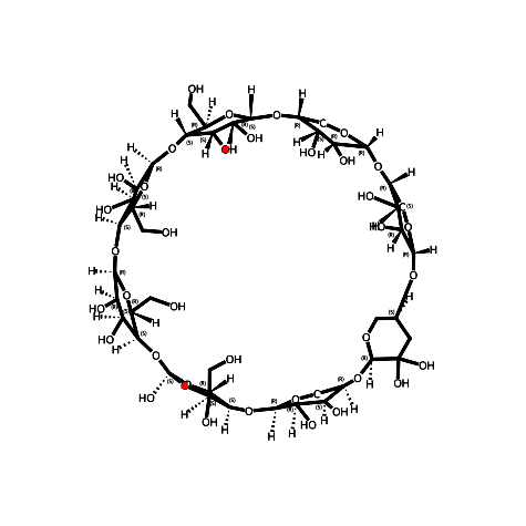 OC[C@H]1O[C@@H]2O[C@H]3[C@@H](O)[C@@H](O)[C@@H](O[C@@H]4CO[C@H](O[C@@H]5CO[C@H](O[C@@H]6CO[C@H](O[C@@H]7CO[C@H](O[C@H]8[C@@H](O)C[C@@](O)(O[C@H]9[C@@H](O)[C@@H](O)[C@@H](O[C@H]1[C@@H](O)[C@H]2O)O[C@@H]9CO)O[C@@H]8CO)[C@H](O)[C@@H]7O)C(O)(O)C6)[C@H](O)[C@@H]5O)[C@H](O)[C@@H]4O)O[C@@H]3CO